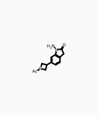 CC(=O)N1CC(c2ccc3c(c2)N(N)C(=O)C3)C1